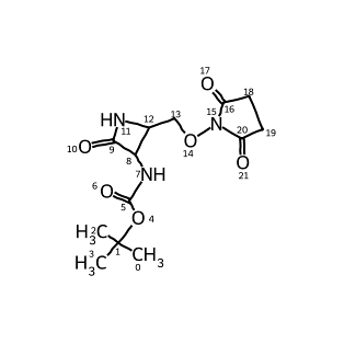 CC(C)(C)OC(=O)NC1C(=O)NC1CON1C(=O)CCC1=O